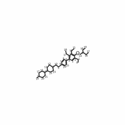 CCc1cc(-c2ccc(CCC3CCC(C4CCC(C)CC4)CC3)cc2)c(CC)c(CC)c1OCC(CC)CC